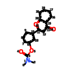 CN(C)C(=O)Oc1cccc(-c2cc(=O)c3ccccc3o2)c1